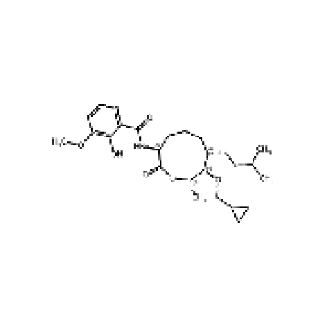 COc1ccnc(C(=O)N[C@H]2CCC[C@H](CCC(C)C)[C@@H](OCC3CC3)[C@H](C)OC2=O)c1O